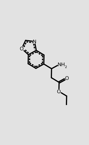 CCOC(=O)CC(N)c1ccc2ocnc2c1